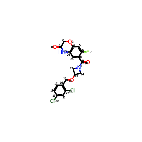 O=C1COc2cc(F)c(C(=O)N3CC(OCc4ccc(Cl)cc4Cl)C3)cc2N1